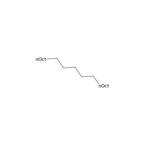 [CH2]CCCCCCCCCCCCCCCCCCC[CH2]